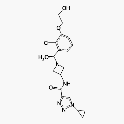 C[C@@H](c1cccc(OCCO)c1Cl)N1CC(NC(=O)c2cn(C3CC3)nn2)C1